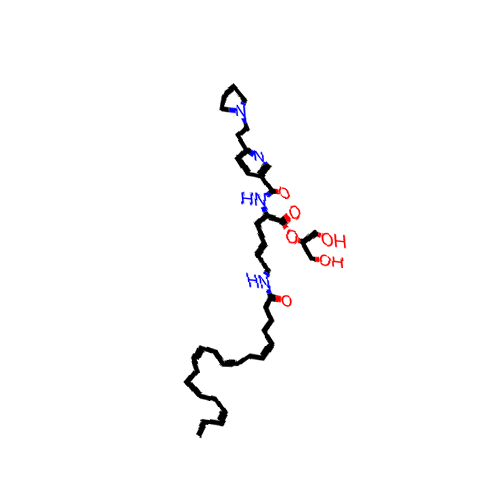 CC/C=C\C/C=C\C/C=C\C/C=C\C/C=C\CCCC(=O)NCCCCC(NC(=O)c1ccc(CCN2CCCC2)nc1)C(=O)OC(CO)CO